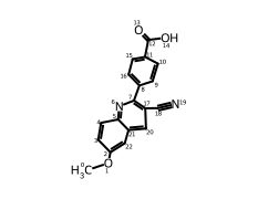 COc1ccc2nc(-c3ccc(C(=O)O)cc3)c(C#N)cc2c1